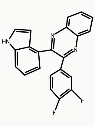 Fc1ccc(-c2nc3ccccc3nc2-c2cccc3[nH]ccc23)cc1F